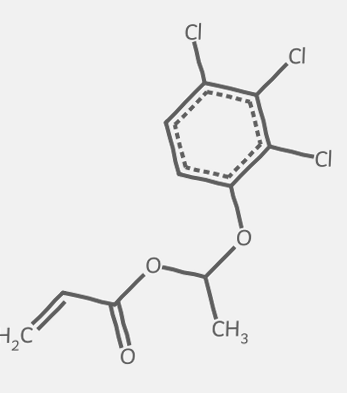 C=CC(=O)OC(C)Oc1ccc(Cl)c(Cl)c1Cl